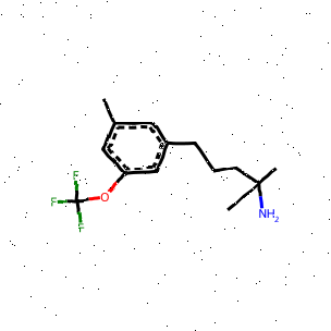 Cc1cc(CCCC(C)(C)N)cc(OC(F)(F)F)c1